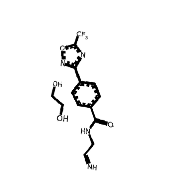 N=CCNC(=O)c1ccc(-c2noc(C(F)(F)F)n2)cc1.OCCO